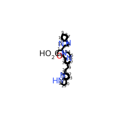 O=C(O)CC(c1cnc2ccccc2n1)N1CCn2cc(CCc3ccc4c(n3)NCCC4)cc2C1=O